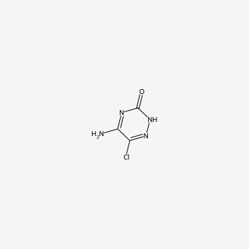 Nc1nc(=O)[nH]nc1Cl